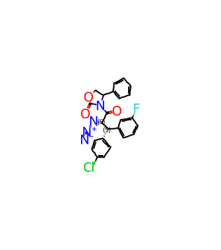 [N-]=[N+]=N[C@H](C(=O)N1C(=O)OCC1c1ccccc1)[C@@H](c1ccc(Cl)cc1)c1cccc(F)c1